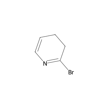 BrC1=NC=CCC1